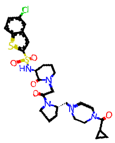 O=C(C1CC1)N1CCN(C[C@@H]2CCCN2C(=O)CN2CCC[C@H](NS(=O)(=O)c3cc4cc(Cl)ccc4s3)C2=O)CC1